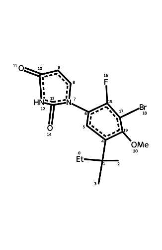 CCC(C)(C)c1cc(-n2ccc(=O)[nH]c2=O)c(F)c(Br)c1OC